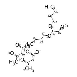 CC(=O)CC(=O)[O-].CC(=O)CC(=O)[O-].CCCCOC([CH2][Al+2])OCCCC